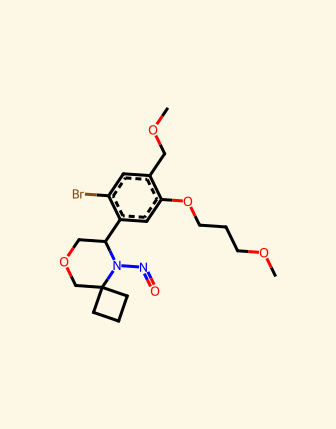 COCCCOc1cc(C2COCC3(CCC3)N2N=O)c(Br)cc1COC